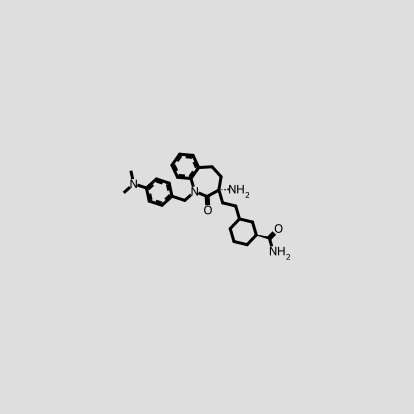 CN(C)c1ccc(CN2C(=O)[C@](N)(CCC3CCC[C@H](C(N)=O)C3)CCc3ccccc32)cc1